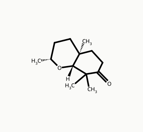 C[C@@H]1CC[C@@]2(C)CCC(=O)C(C)(C)[C@@H]2O1